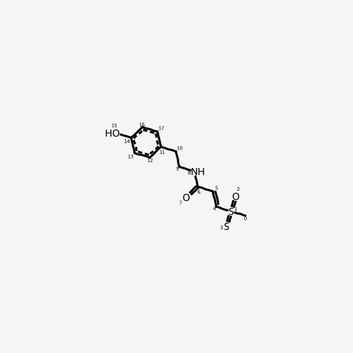 CS(=O)(=S)C=CC(=O)NCCc1ccc(O)cc1